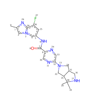 Cc1cn2cc(NC(=O)c3cnc(N4CC5CNC(C)(C)C5C4)cn3)cc(F)c2n1